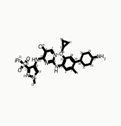 Cc1cc(Nc2ncc(Cl)c(Nc3cn(C)nc3S(=O)(=O)C(C)C)n2)c(OC2CC2)cc1C1CCC(N)CC1